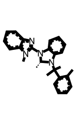 Cc1ccccc1C(C)(C)N1c2ccccc2N(c2nc3ccccc3n2C)[C@H]1C